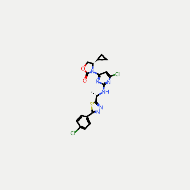 C[C@H](Nc1nc(Cl)cc(N2C(=O)OC[C@@H]2C2CC2)n1)c1nnc(-c2ccc(Cl)cc2)s1